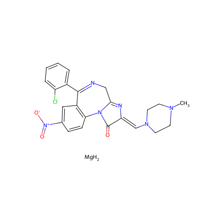 CN1CCN(/C=C2\N=C3CN=C(c4ccccc4Cl)c4cc([N+](=O)[O-])ccc4N3C2=O)CC1.[MgH2]